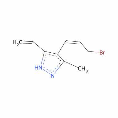 C=Cc1[nH]nc(C)c1/C=C\CBr